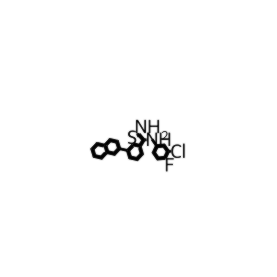 Nc1sc2c(-c3ccc4ccccc4c3)cccc2c1Nc1ccc(F)c(Cl)c1